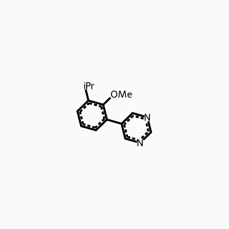 COc1c(-c2cncnc2)cccc1C(C)C